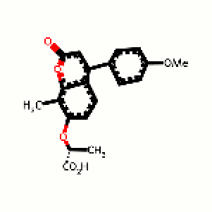 COc1ccc(-c2cc(=O)oc3c(C)c(O[C@H](C)C(=O)O)ccc23)cc1